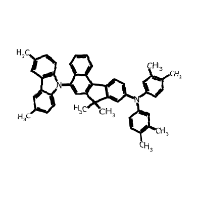 Cc1ccc2c(c1)c1cc(C)ccc1n2-c1cc2c(c3ccccc13)-c1ccc(N(c3ccc(C)c(C)c3)c3ccc(C)c(C)c3)cc1C2(C)C